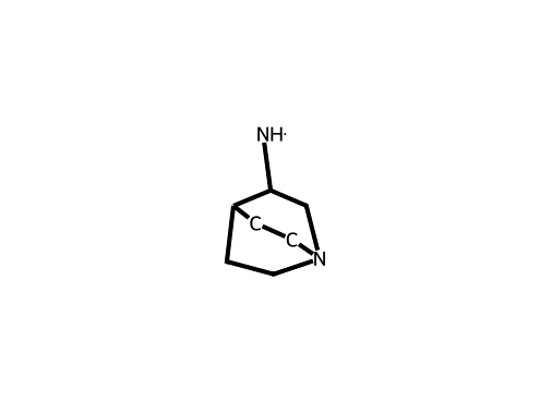 [NH]C1CN2CCC1CC2